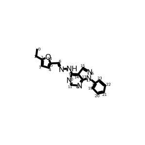 CCc1ccc(C=NNc2ncnc3c2cnn3-c2ccccc2)o1